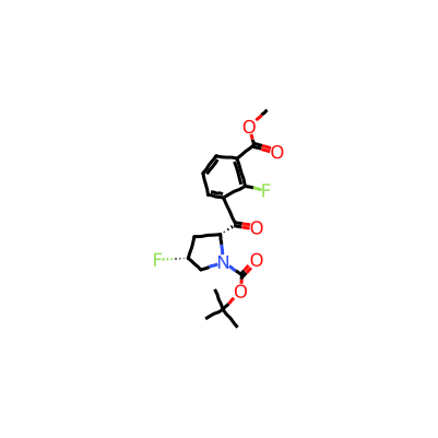 COC(=O)c1cccc(C(=O)[C@H]2C[C@@H](F)CN2C(=O)OC(C)(C)C)c1F